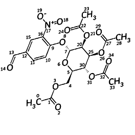 CC(=O)OC[C@H]1O[C@H](Oc2ccc(C=O)cc2[N+](=O)[O-])[C@@H](OC(C)=O)[C@@H](OC(C)=O)[C@@H]1OC(C)=O